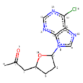 CC(=O)CC1CCC(n2cnc3c(Cl)ncnc32)O1